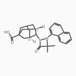 CC1(C)C(=O)N(C2[C@@H]3CC4C[C@H]2CC(C(=O)O)(C4)C3)N1c1cccc2ccccc12